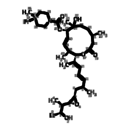 CC[C@H](O)[C@@H](C)[C@H]1O[C@@H]1C[C@H](C)/C=C/C=C(\C)[C@H]1OC(=O)C[C@H](C)CC[C@@](C)(O)[C@@H](OC(=O)N2CC[N+](C)(C(C)C)CC2)/C=C/[C@@H]1C